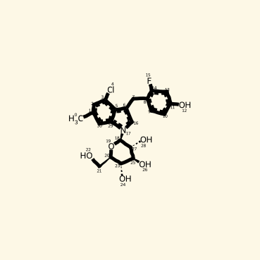 Cc1cc(Cl)c2c(Cc3ccc(O)cc3F)cn([C@@H]3O[C@H](CO)[C@@H](O)[C@H](O)[C@H]3O)c2c1